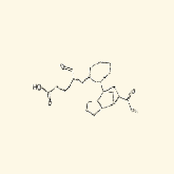 O=CC(CCC(=O)O)CC1CCCCC1C12CC(C(=O)O)C(C1)C1CCCC12